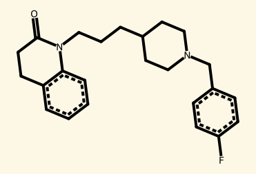 O=C1CCc2ccccc2N1CCCC1CCN(Cc2ccc(F)cc2)CC1